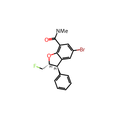 CNC(=O)c1cc(Br)cc2c1O[C@@H](CF)[C@@H]2c1ccccc1